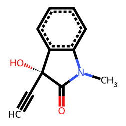 C#C[C@]1(O)C(=O)N(C)c2ccccc21